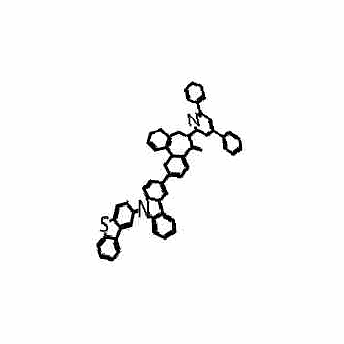 CC1C2=CC=C(C3=CC4c5ccccc5N(C5C=c6c(sc7ccccc67)=CC5)C4C=C3)CC2C2=C(CCC=C2)CC1C1CC(c2ccccc2)=CC(C2=CCCC=C2)=N1